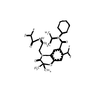 CC(C)N(C(=O)c1cc2c(cc1C(F)F)OC(C)(C)C(=O)N2CCNC(=O)C(F)F)C1CCCCC1